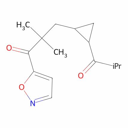 CC(C)C(=O)C1CC1CC(C)(C)C(=O)c1ccno1